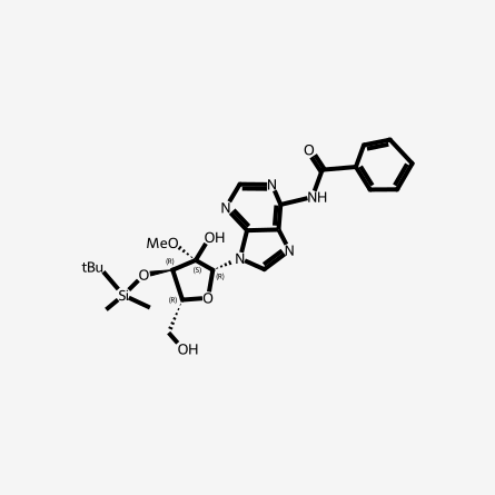 CO[C@@]1(O)[C@H](O[Si](C)(C)C(C)(C)C)[C@@H](CO)O[C@H]1n1cnc2c(NC(=O)c3ccccc3)ncnc21